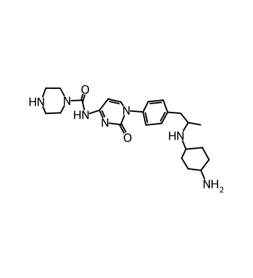 CC(Cc1ccc(-n2ccc(NC(=O)N3CCNCC3)nc2=O)cc1)NC1CCC(N)CC1